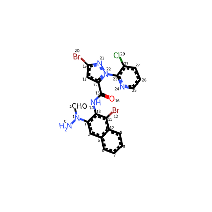 NN(C=O)c1cc2ccccc2c(Br)c1NC(=O)c1cc(Br)nn1-c1ncccc1Cl